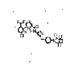 O=C(Nc1cnn(Cc2ccc(N3C[C@H]4CC[C@H]4C3=O)cc2)c1)c1cncc(-c2c(C(F)F)ccc(Cl)c2F)n1